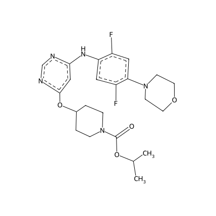 CC(C)OC(=O)N1CCC(Oc2cc(Nc3cc(F)c(N4CCOCC4)cc3F)ncn2)CC1